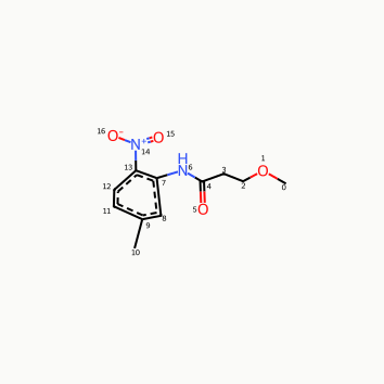 COCCC(=O)Nc1cc(C)ccc1[N+](=O)[O-]